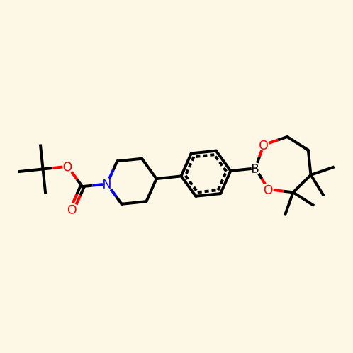 CC(C)(C)OC(=O)N1CCC(c2ccc(B3OCCC(C)(C)C(C)(C)O3)cc2)CC1